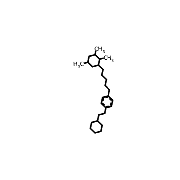 CC1CC(C)C(C)C(CCCCCc2ccc(CCC3CCCCC3)cc2)C1